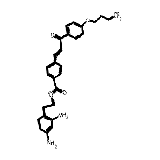 Nc1ccc(CCOC(=O)c2ccc(C=CC(=O)c3ccc(OCCCC(F)(F)F)cc3)cc2)c(N)c1